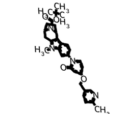 Cc1ccc(COc2ccn(-c3ccc4c5c(n(C)c4c3)CC3CCC5N3C(=O)OC(C)(C)C)c(=O)c2)cn1